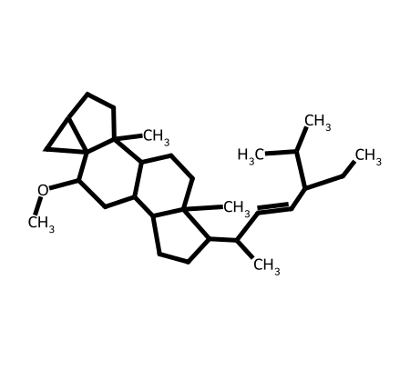 CCC(/C=C/C(C)C1CCC2C3CC(OC)C45CC4CCC5(C)C3CCC12C)C(C)C